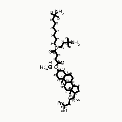 CC[C@H](CC[C@@H](C)C1CCC2C3CC=C4CC(OC(=O)CCC(=O)N(CCCCCCCC(C)(C)N)CCC(C)(C)N)CCC4(C)C3CCC21C)C(C)C.Cl.Cl